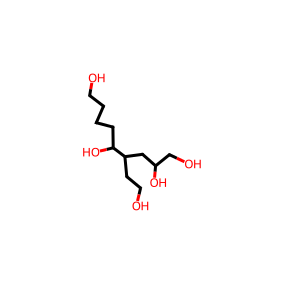 OCCCCC(O)C(CCO)CC(O)CO